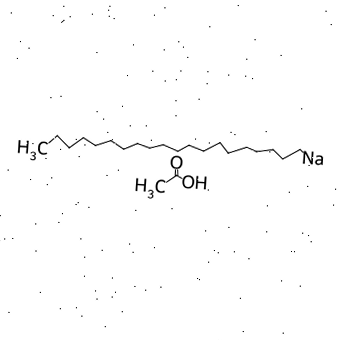 CC(=O)O.CCCCCCCCCCCCCCCCCCC[CH2][Na]